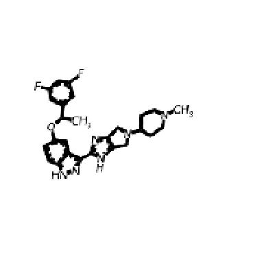 CC(Oc1ccc2[nH]nc(-c3nc4c([nH]3)CN(C3CCN(C)CC3)C4)c2c1)c1cc(F)cc(F)c1